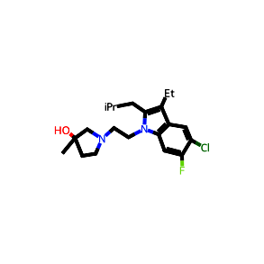 CCc1c(CC(C)C)n(CCN2CCC(C)(O)C2)c2cc(F)c(Cl)cc12